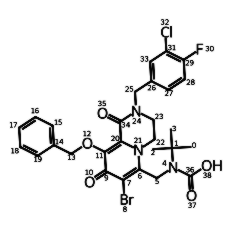 CC(C)(C)N(Cc1c(Br)c(=O)c(OCc2ccccc2)c2n1CCN(Cc1ccc(F)c(Cl)c1)C2=O)C(=O)O